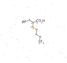 CC(C)CC(SCCCC(F)(F)F)C(=O)O